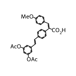 COc1ccc(/C=C(/C(=O)O)c2ccc(/C=C/c3cc(OC(C)=O)cc(OC(C)=O)c3)cc2)cc1